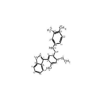 COc1cc(O)c(-c2noc3ccccc23)cc1CNc1ccc(C)c(C)c1